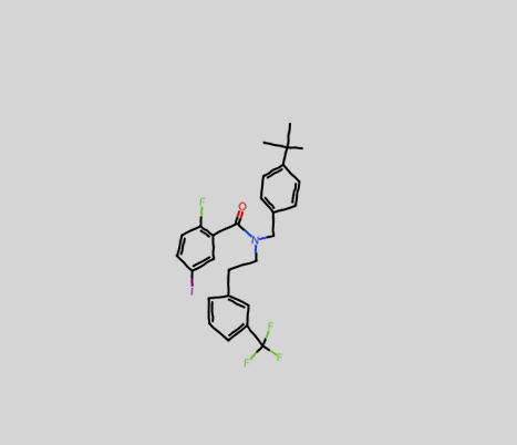 CC(C)(C)c1ccc(CN(CCc2cccc(C(F)(F)F)c2)C(=O)c2cc(I)ccc2F)cc1